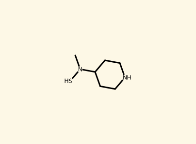 CN(S)C1CCNCC1